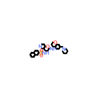 O=C(CC(NS(=O)(=O)c1ccc2ccccc2c1)c1cccnc1)NC1CCOc2cc(CN3CCCCC3)ccc21